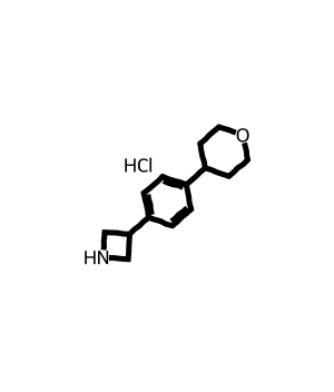 Cl.c1cc(C2CNC2)ccc1C1CCOCC1